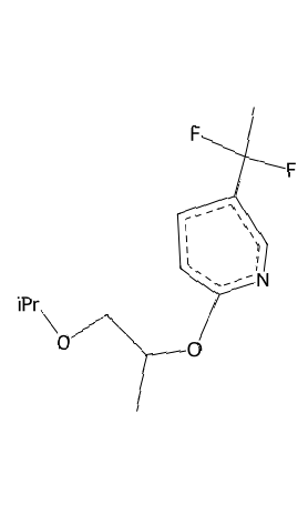 CC(C)OCC(C)Oc1ccc(C(C)(F)F)cn1